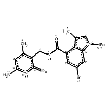 CC[C@H](C)n1cc(C)c2c(C(=O)NCc3c(C)cc(N)[nH]c3=O)cc(Br)cc21